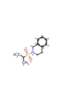 CC(C)S(=O)(=O)N1CCc2c[c]ccc2C1